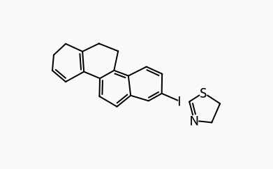 C1=NCCS1.Ic1ccc2c3c(ccc2c1)C1=C(CCC=C1)CC3